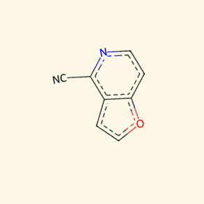 N#Cc1nccc2occc12